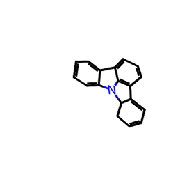 C1=CCC2C(=C1)c1cccc3c4ccccc4n2c13